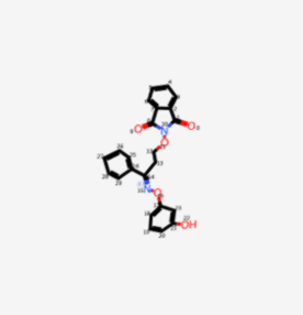 O=C1c2ccccc2C(=O)N1OCC/C(=N\Oc1cccc(O)c1)c1ccccc1